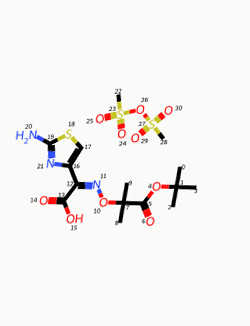 CC(C)(C)OC(=O)C(C)(C)ON=C(C(=O)O)c1csc(N)n1.CS(=O)(=O)OS(C)(=O)=O